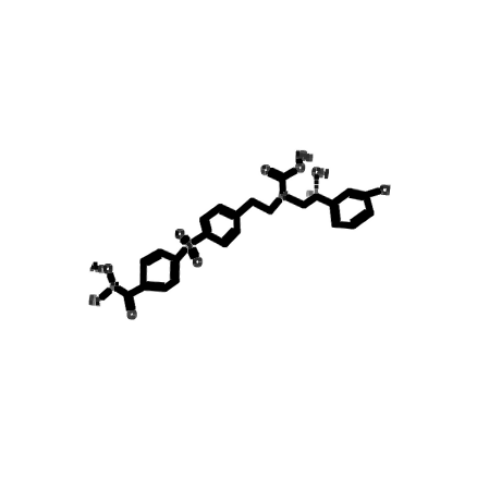 CCN(OC(C)=O)C(=O)c1ccc(S(=O)(=O)c2ccc(CCN(C[C@H](O)c3cccc(Cl)c3)C(=O)OC(C)(C)C)cc2)cc1